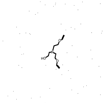 C=COCCN(CCO)CCOC=C